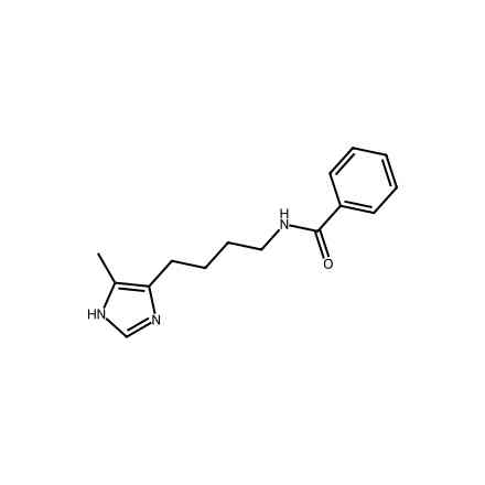 Cc1[nH]cnc1CCCCNC(=O)c1ccccc1